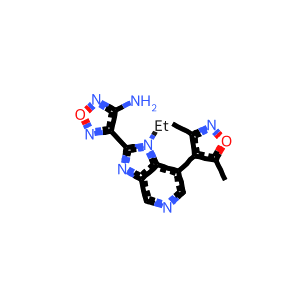 CCn1c(-c2nonc2N)nc2cncc(-c3c(C)noc3C)c21